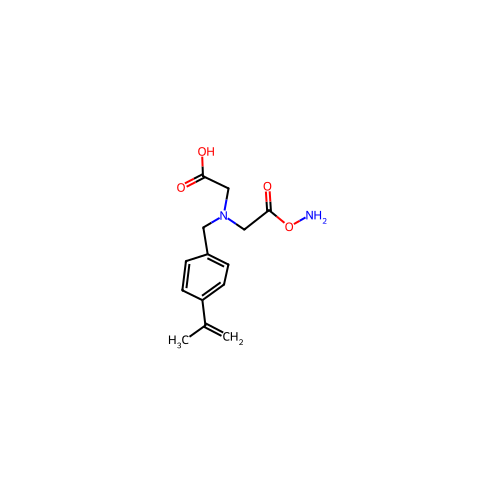 C=C(C)c1ccc(CN(CC(=O)O)CC(=O)ON)cc1